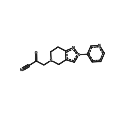 N#CC(=O)CN1CCc2nn(-c3cccnc3)cc2C1